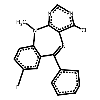 CN1c2ccc(F)cc2C(c2ccccc2)=Nc2c(Cl)ncnc21